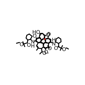 CCOC(C)(C)C(=O)C1CCCCC1Nc1c2c3c4c(c(OC)c(=O)c5c(NC6CCCCC6C(=O)C(C)(C)OCC)cc(OC)c(c6c(OC)cc(O)c(c1=O)c63)c54)C(C(C)=O)C(C)=C2